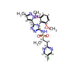 COc1cccc(OC)c1-n1c(NS(=O)(=O)[C@@H](C)Cc2ncc(F)cn2)nnc1-c1cc(C)n[nH]1